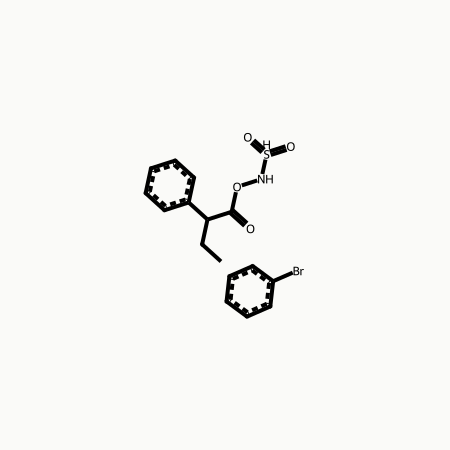 Brc1ccccc1.CCC(C(=O)ON[SH](=O)=O)c1ccccc1